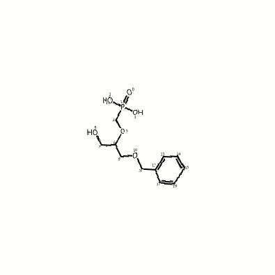 O=P(O)(O)COC(CO)COCc1ccccc1